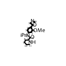 COc1cc(N(C(=O)C2CCCCN2)C(C)C)ccc1-c1cnco1